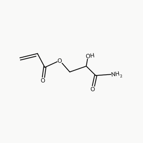 C=CC(=O)OCC(O)C(N)=O